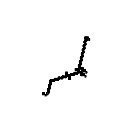 CCCCCC/C=C\CCCCCCCC(=O)NCCCC[C@H](NC(=O)CCCCCCCCCCCCCCC)C(C)C